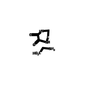 NCC(=O)O.O=C1NCCNC1=O